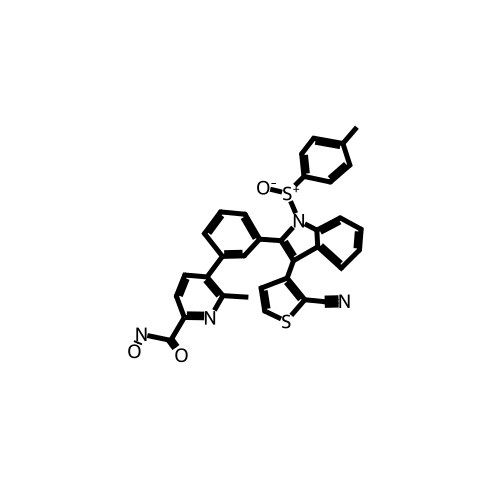 Cc1ccc([S+]([O-])n2c(-c3cccc(-c4ccc(C(=O)N=O)nc4C)c3)c(-c3ccsc3C#N)c3ccccc32)cc1